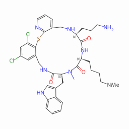 CNCCCC[C@@H]1NC(=O)[C@H](CCCN)NCc2cccnc2Sc2c(Cl)cc(Cl)cc2CNC(=O)[C@H](Cc2c[nH]c3ccccc23)N(C)C1=O